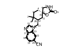 CC1(C)CC[C@@]2(CNC(=O)O2)C[C@H]1Cn1cnc2ccc(C#N)cc21